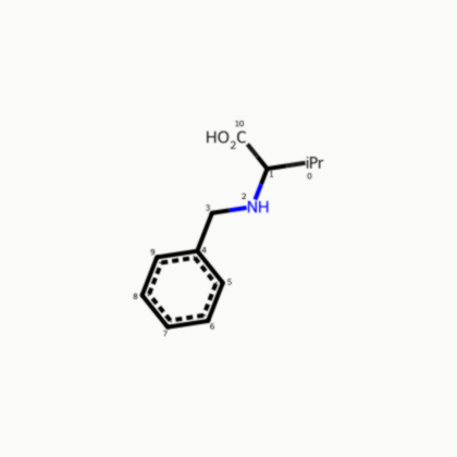 CC(C)C(NCc1ccccc1)C(=O)O